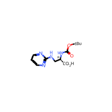 CC(C)(C)OC(=O)N[C@H](CNc1ncccn1)C(=O)O